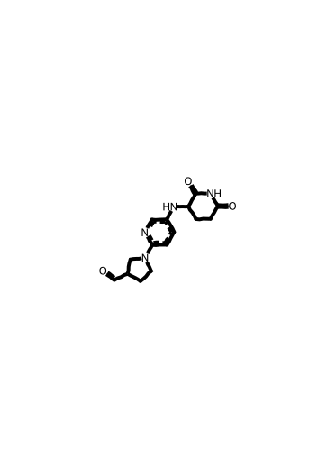 O=CC1CCN(c2ccc(NC3CCC(=O)NC3=O)cn2)C1